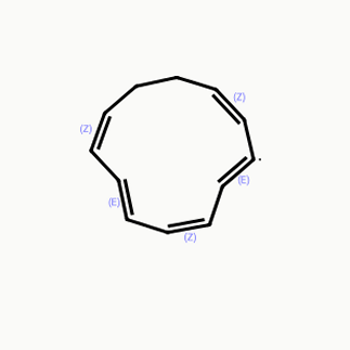 [C]1=C/C=C\C=C\C=C/CC\C=C/1